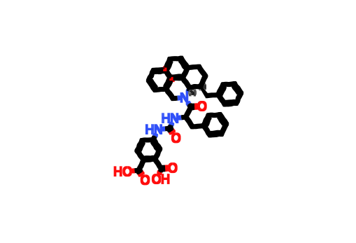 O=C(Nc1ccc(C(=O)O)c(C(=O)O)c1)NC(Cc1ccccc1)C(=O)N(Cc1ccccc1)[C@@H]1c2ccccc2CC[C@H]1Cc1ccccc1